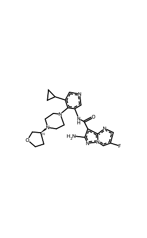 Nc1nn2cc(F)cnc2c1C(=O)Nc1cncc(C2CC2)c1N1CCN([C@H]2CCOC2)CC1